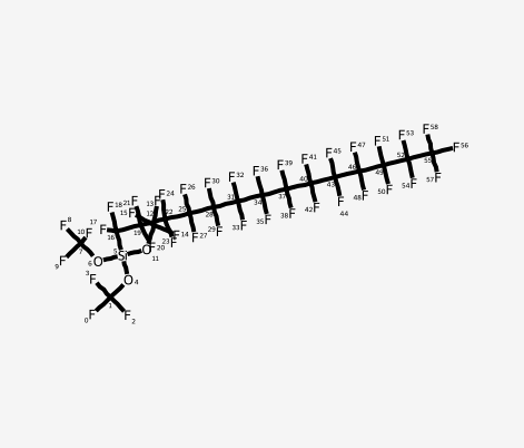 FC(F)(F)O[Si](OC(F)(F)F)(OC(F)(F)F)C(F)(F)C(F)(F)C(F)(F)C(F)(F)C(F)(F)C(F)(F)C(F)(F)C(F)(F)C(F)(F)C(F)(F)C(F)(F)C(F)(F)C(F)(F)C(F)(F)F